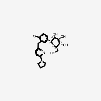 OC[C@H]1O[C@@H](c2ccc(Cl)c(Cc3ccc(N4CCCC4)nn3)c2)[C@H](O)[C@@H](O)[C@@H]1O